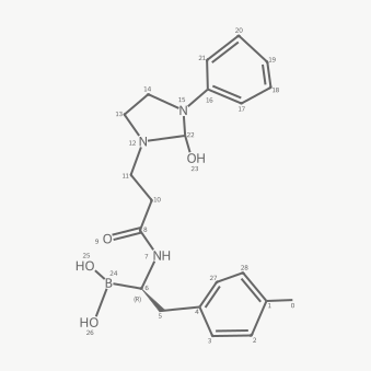 Cc1ccc(C[C@H](NC(=O)CCN2CCN(c3ccccc3)C2O)B(O)O)cc1